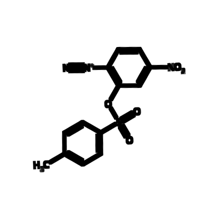 Cc1ccc(S(=O)(=O)Oc2cc([N+](=O)[O-])ccc2[N+]#N)cc1